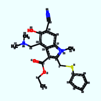 CCOC(=O)c1c(CSc2ccccc2)n(C)c2cc(C#N)c(O)c(CN(C)C)c12